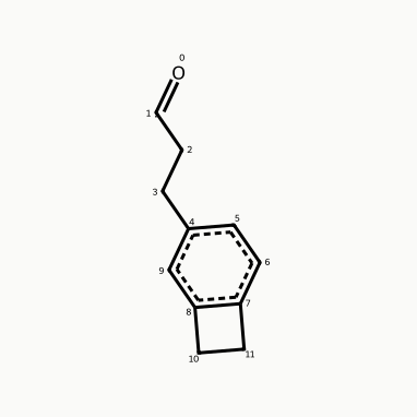 O=[C]CCc1ccc2c(c1)CC2